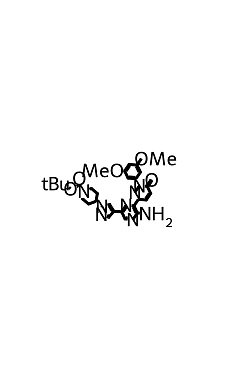 COc1cc(OC)cc(-n2nc(-c3nc(-c4cnn(C5CCN(C(=O)OC(C)(C)C)CC5)c4)cnc3N)ccc2=O)c1